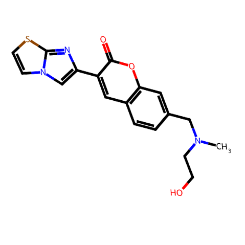 CN(CCO)Cc1ccc2cc(-c3cn4ccsc4n3)c(=O)oc2c1